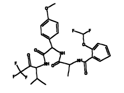 COc1ccc(C(NC(=O)C(C)NC(=O)c2ccccc2OC(F)F)C(=O)NC(C(=O)C(F)(F)F)C(C)C)cc1